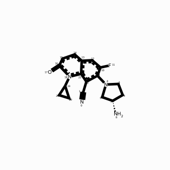 N#Cc1c(N2CC[C@H](N)C2)c(F)cc2ccc(=O)n(C3CC3)c12